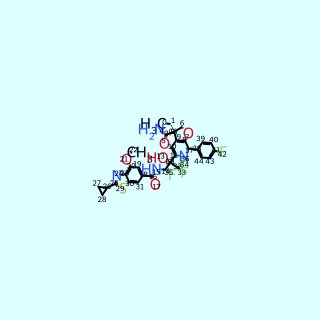 CC[C@]1(C(N)=O)COc2c1cc([C@@](O)(CNC(=O)c1cc(OC)c3nc(C4CC4)sc3c1)C(F)(F)F)nc2-c1ccc(F)cc1